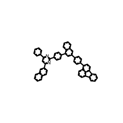 c1ccc(-c2cc(-c3ccc4ccccc4c3)nc(-c3ccc(-c4cc(-c5ccc(-c6ccc7c8c(cccc68)-c6ccccc6-7)cc5)cc5ccccc45)cc3)n2)cc1